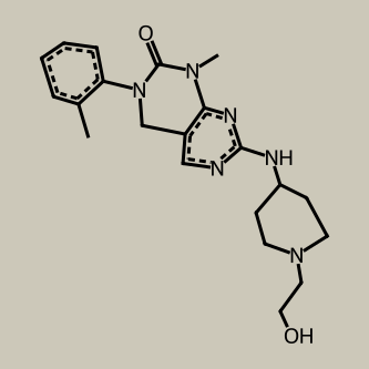 Cc1ccccc1N1Cc2cnc(NC3CCN(CCO)CC3)nc2N(C)C1=O